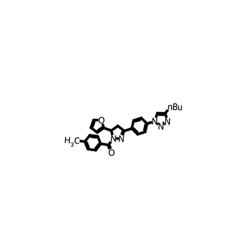 CCCCc1cn(-c2ccc(C3=NN(C(=O)c4ccc(C)cc4)C(c4ccco4)C3)cc2)nn1